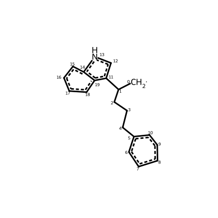 [CH2]C(CCCc1ccccc1)c1c[nH]c2ccccc12